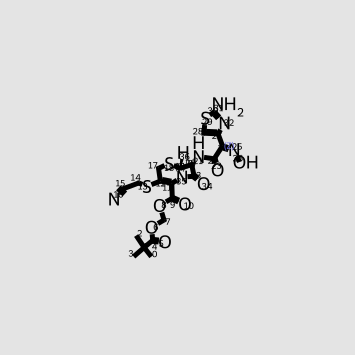 CC(C)(C)C(=O)OCOC(=O)C1=C(SCC#N)CS[C@@H]2[C@H](NC(=O)/C(=N\O)c3csc(N)n3)C(=O)N12